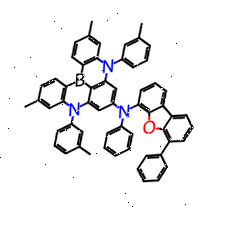 Cc1cccc(N2c3cc(C)ccc3B3c4ccc(C)cc4N(c4cccc(C)c4)c4cc(N(c5ccccc5)c5cccc6c5oc5c(-c7ccccc7)cccc56)cc2c43)c1